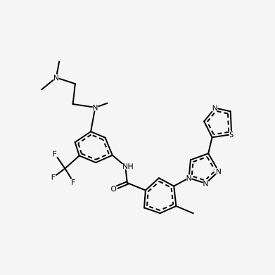 Cc1ccc(C(=O)Nc2cc(N(C)CCN(C)C)cc(C(F)(F)F)c2)cc1-n1cc(-c2cncs2)nn1